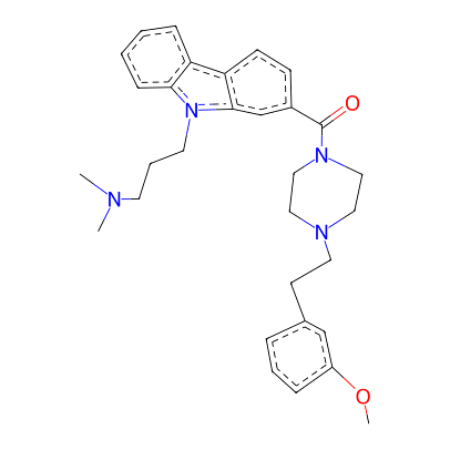 COc1cccc(CCN2CCN(C(=O)c3ccc4c5ccccc5n(CCCN(C)C)c4c3)CC2)c1